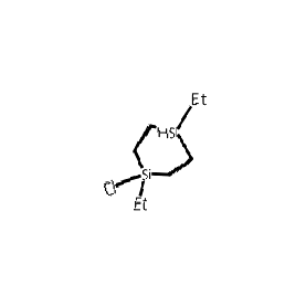 CC[SiH]1CC[Si](Cl)(CC)CC1